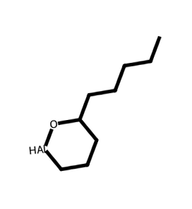 CCCCCC1CC[CH2][AlH][O]1